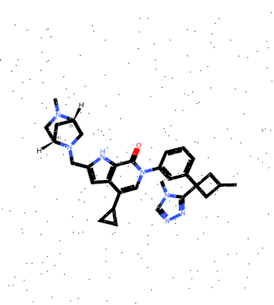 CC1CC(c2cccc(-n3cc(C4CC4)c4cc(CN5C[C@@H]6C[C@H]5CN6C)[nH]c4c3=O)c2)(c2nncn2C)C1